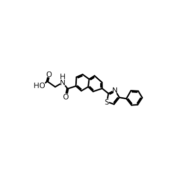 O=C(O)CNC(=O)c1ccc2ccc(-c3nc(-c4ccccc4)cs3)cc2c1